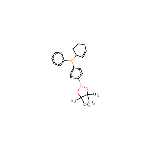 CC1(C)OB(c2ccc(P(c3ccccc3)C3C=CCCC3)cc2)OC1(C)C